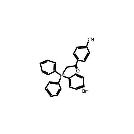 N#Cc1ccc(C(=O)C[P+](c2ccccc2)(c2ccccc2)c2ccccc2)cc1.[Br-]